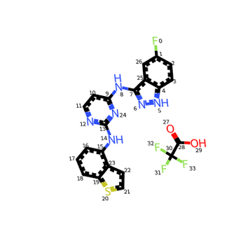 Fc1ccc2[nH]nc(Nc3ccnc(Nc4cccc5sccc45)n3)c2c1.O=C(O)C(F)(F)F